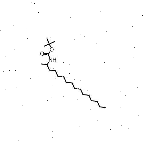 CCCCCCCCCCCCCCC(C)NC(=O)OC(C)(C)C